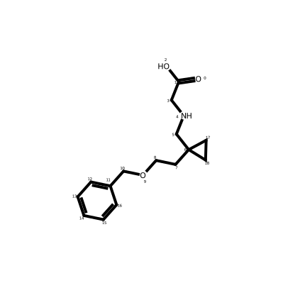 O=C(O)CNCC1(CCOCc2ccccc2)CC1